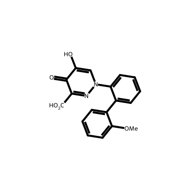 COc1ccccc1-c1ccccc1-n1cc(O)c(=O)c(C(=O)O)n1